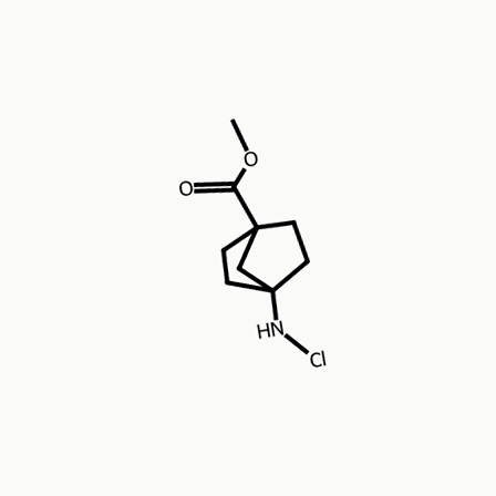 COC(=O)C12CCC(NCl)(CC1)C2